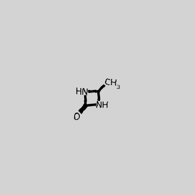 CC1NC(=O)N1